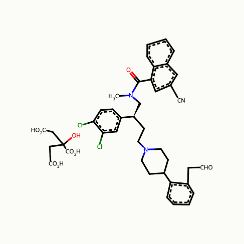 CN(C[C@@H](CCN1CCC(c2ccccc2CC=O)CC1)c1ccc(Cl)c(Cl)c1)C(=O)c1cc(C#N)cc2ccccc12.O=C(O)CC(O)(CC(=O)O)C(=O)O